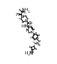 CN(Cc1ccc(N2C=CC(NC(=O)N3CCN(C(=O)C(C)(C)N)CC3)=NC2)cc1)C[C@H]1C[C@@H](N)C1